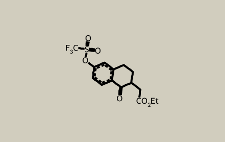 CCOC(=O)CC1CCc2cc(OS(=O)(=O)C(F)(F)F)ccc2C1=O